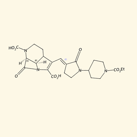 CCOC(=O)N1CCC(N2CC/C(=C\C3=C(C(=O)O)N4C(=O)[C@@H]5[C@H]4C3CCN5C(=O)O)C2=O)CC1